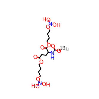 CC(C)(C)OC(=O)NC(CCC(=O)OCCCCON(O)O)C(=O)OCCCCON(O)O